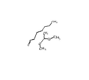 CCCCCCC=O.COC(C)OC